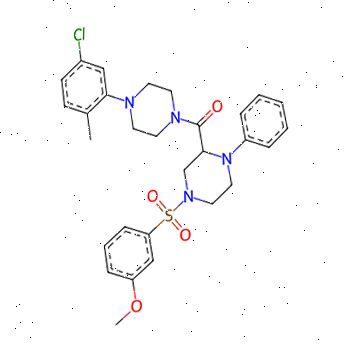 COc1cccc(S(=O)(=O)N2CCN(c3ccccc3)C(C(=O)N3CCN(c4cc(Cl)ccc4C)CC3)C2)c1